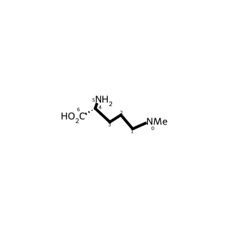 CNCCC[C@@H](N)C(=O)O